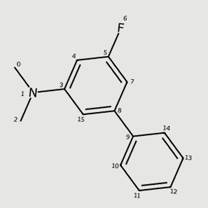 CN(C)c1cc(F)cc(-c2ccccc2)c1